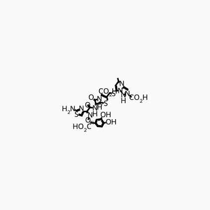 CC1=NC2=CN(C(=O)O)NN2C(SCC2=C(C(=O)O)N3C(=O)[C@@H](NC(=O)C(=NO[C@@H](C(=O)O)c4ccc(O)c(O)c4)c4csc(N)n4)[C@H]3SC2)=C1